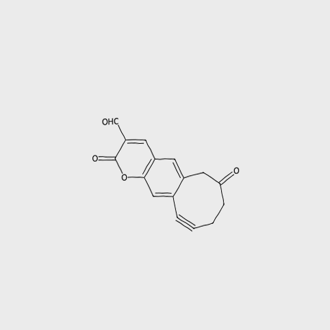 O=Cc1cc2cc3c(cc2oc1=O)C#CCCC(=O)C3